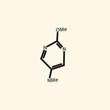 CNc1cnc(OC)nc1